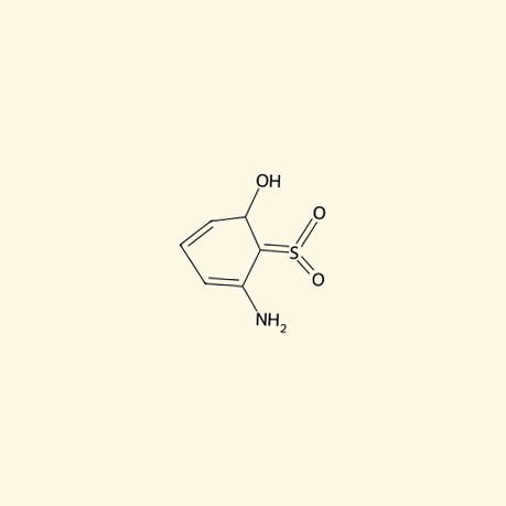 NC1=CC=CC(O)C1=S(=O)=O